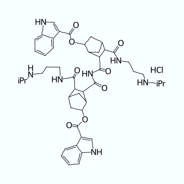 CC(C)NCCCNC(=O)C1C2CC(OC(=O)c3c[nH]c4ccccc34)C(C2)C1C(=O)NC(=O)C1C2CC(CC2OC(=O)c2c[nH]c3ccccc23)C1C(=O)NCCCNC(C)C.Cl